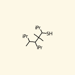 CC(C)C(C)C(C(C)C)C(C)(C)C(S)C(C)C